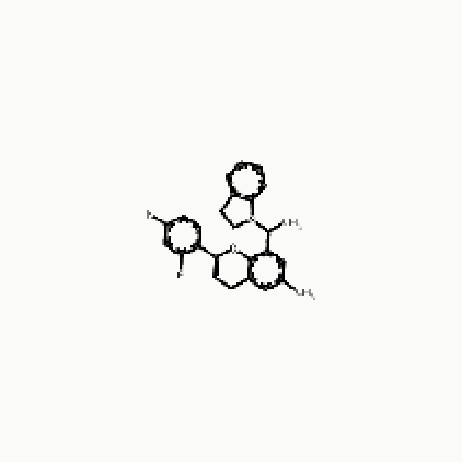 Cc1cc2c(c(C(C)N3CCc4ccccc43)c1)OC(c1ccc(F)cc1F)=CC2